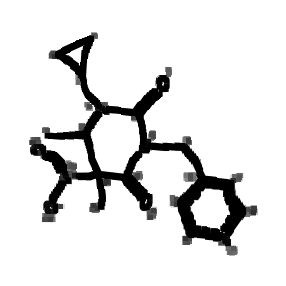 CC1N(C2CC2)C(=O)N(Cc2ccncc2)C(=O)C1(C)[N+](=O)[O-]